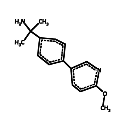 COc1ccc(-c2ccc(C(C)(C)N)cc2)cn1